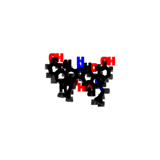 Oc1ccc2c3c1O[C@H]1c4[nH]c5c(c4C[C@@]4(O)[C@@H](C2)N(CC2CC2)CC[C@]314)C[C@@]1(O)[C@H]2Cc3ccc(O)c4c3[C@@]1(CN2CC1CC1)[C@H]5O4